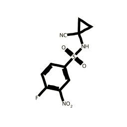 N#CC1(NS(=O)(=O)c2ccc(F)c([N+](=O)[O-])c2)CC1